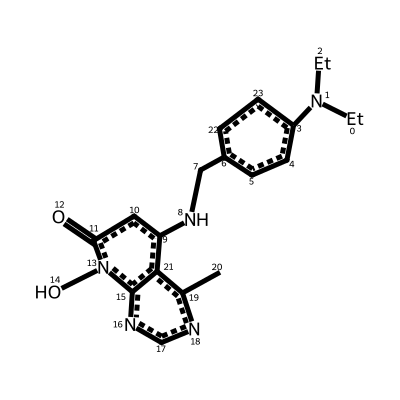 CCN(CC)c1ccc(CNc2cc(=O)n(O)c3ncnc(C)c23)cc1